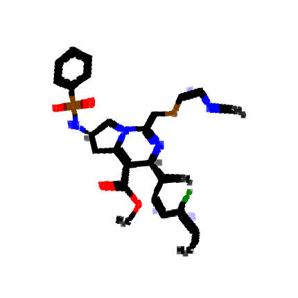 C=N/C=C\SCC1=N[C@@H](C(=C)/C=C\C(F)=C/C)C(C(=O)OC)=C2C[C@H](NS(=O)(=O)c3ccccc3)CN12